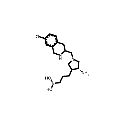 N[C@H]1CN(CC2Cc3ccc(Cl)cc3CN2)CC1CCCB(O)O